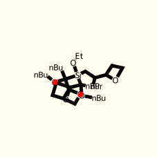 CCCCOC(CCCC)(C1CCO1)[Si](CC(CCC)C1CCO1)(OCC)C(CCCC)(OCCCC)C1CCO1